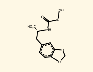 CC(C)(C)OC(=O)N[C@H](Cc1ccc2c(c1)OCO2)C(=O)O